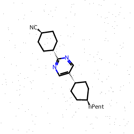 CCCCC[C@H]1CC[C@H](c2cnc([C@H]3CC[C@H](C#N)CC3)nc2)CC1